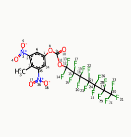 Cc1c([N+](=O)[O-])cc(OC(=O)OC(F)(F)C(F)(F)C(F)(F)C(F)(F)C(F)(F)C(F)(F)C(F)(F)F)cc1[N+](=O)[O-]